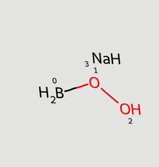 BOO.[NaH]